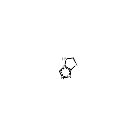 c1nnc2n1NCS2